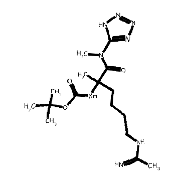 CC(=N)NCCCCC(C)(NC(=O)OC(C)(C)C)C(=O)N(C)c1nnn[nH]1